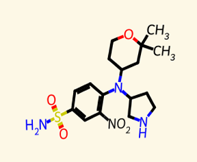 CC1(C)CC(N(c2ccc(S(N)(=O)=O)cc2[N+](=O)[O-])C2CCNC2)CCO1